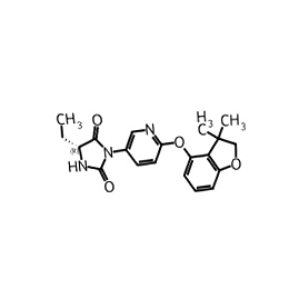 CC[C@H]1NC(=O)N(c2ccc(Oc3cccc4c3C(C)(C)CO4)nc2)C1=O